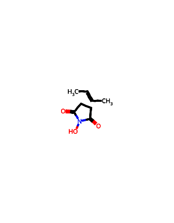 CC=CC.O=C1CCC(=O)N1O